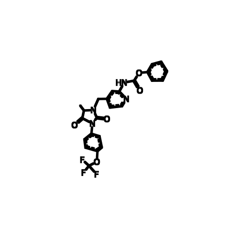 CC1C(=O)N(c2ccc(OC(F)(F)F)cc2)C(=O)N1Cc1ccnc(NC(=O)Oc2ccccc2)c1